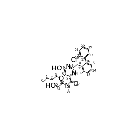 CCCCOc1c(O)nc(Cc2ccccc2-c2ccccc2Cl)nc1C(=O)N(C)CCO